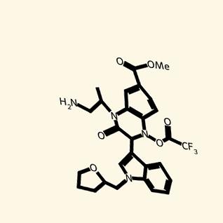 COC(=O)c1ccc2c(c1)N(C(C)CN)C(=O)C(c1cn(CC3CCCO3)c3ccccc13)N2OC(=O)C(F)(F)F